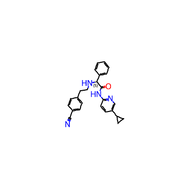 N#Cc1ccc(CCN[C@H](C(=O)Nc2ccc(C3CC3)cn2)c2ccccc2)cc1